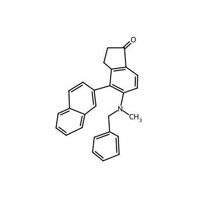 CN(Cc1ccccc1)c1ccc2c(c1-c1ccc3ccccc3c1)CCC2=O